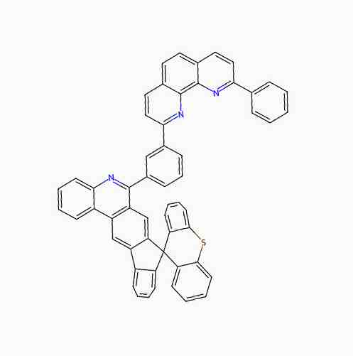 c1ccc(-c2ccc3ccc4ccc(-c5cccc(-c6nc7ccccc7c7cc8c(cc67)C6(c7ccccc7Sc7ccccc76)c6ccccc6-8)c5)nc4c3n2)cc1